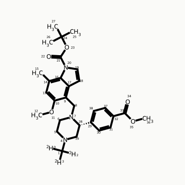 [2H]C([2H])([2H])N1CCN(Cc2c(OC)cc(C)c3c2ccn3C(=O)OC(C)(C)C)[C@H](c2ccc(C(=O)OC)cc2)C1